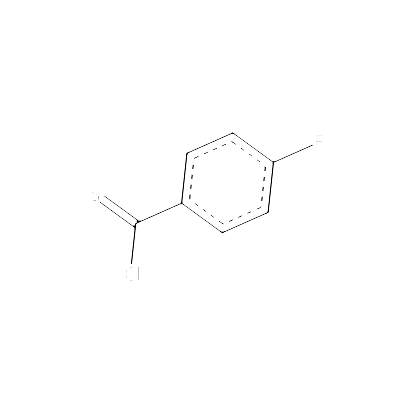 Fc1ccc(C(=S)Cl)cc1